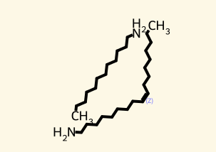 CCCCCCCC/C=C\CCCCCCCCN.CCCCCCCCCCCCN